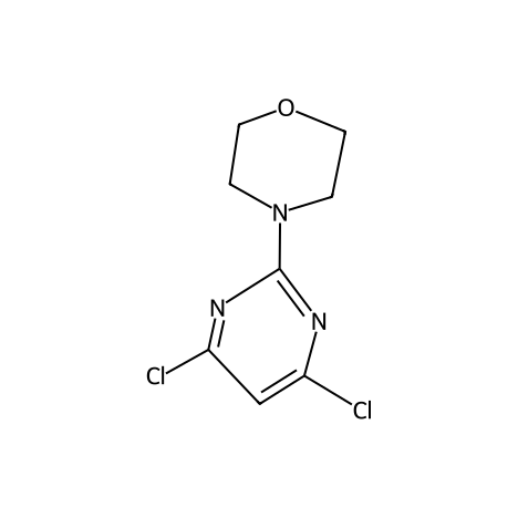 Clc1cc(Cl)nc(N2CCOCC2)n1